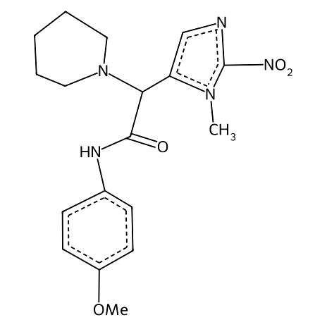 COc1ccc(NC(=O)C(c2cnc([N+](=O)[O-])n2C)N2CCCCC2)cc1